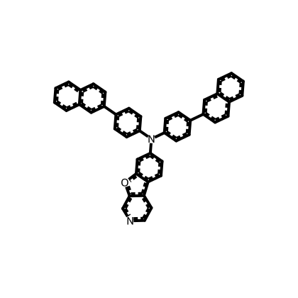 c1ccc2cc(-c3ccc(N(c4ccc(-c5ccc6ccccc6c5)cc4)c4ccc5c(c4)oc4cnccc45)cc3)ccc2c1